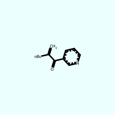 C=C(CCCC)C(=O)c1cccnc1